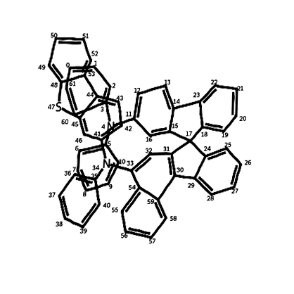 c1ccc(N(c2ccccc2)c2ccc3c(c2)C2(c4ccccc4-3)c3ccccc3-c3c2cc(N(c2ccccc2)c2ccc4c(c2)sc2ccccc24)c2ccccc32)cc1